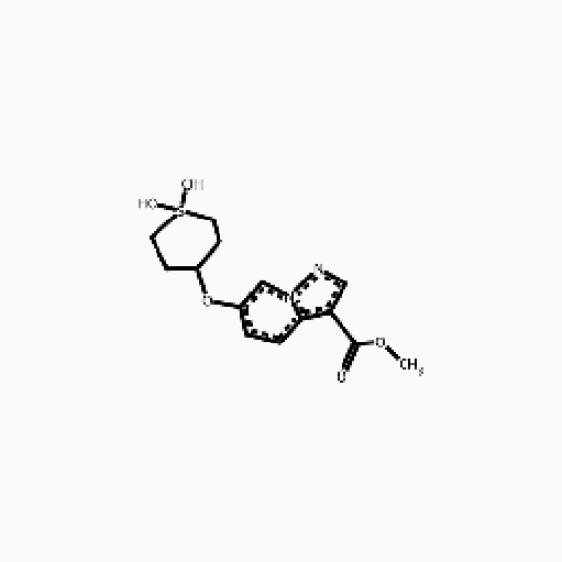 COC(=O)c1cnn2cc(OC3CCS(O)(O)CC3)ccc12